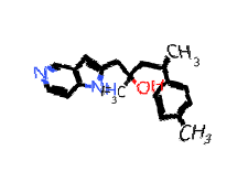 Cc1ccc(C(C)CC(O)(Cc2cc3cnccc3[nH]2)C(F)(F)F)cc1